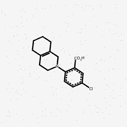 O=C(O)c1cc(Cl)ccc1N1CCC2=C(CCCC2)C1